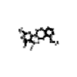 COc1cccc2c1CCN(c1nc(C)[nH]c(=O)c1[N+](=O)[O-])CC2